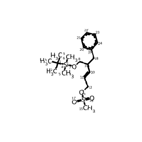 CC(C)(C)[Si](C)(C)OCC(C=CCOS(C)(=O)=O)Cc1ccccc1